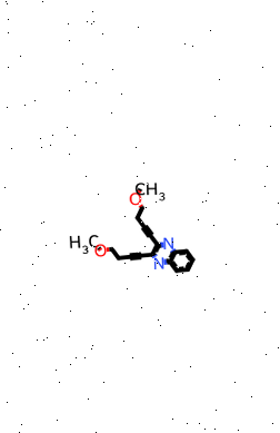 COCCC#Cc1nc2ccccc2nc1C#CCCOC